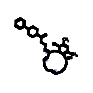 Cc1cc(C)c2c(c1Cl)CC(=N\OCC(=O)N1CCC(c3ccccc3)CC1)/C=C/CC/C=C/CCOC2=O